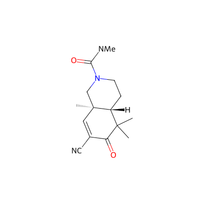 CNC(=O)N1CC[C@@H]2C(C)(C)C(=O)C(C#N)=C[C@@]2(C)C1